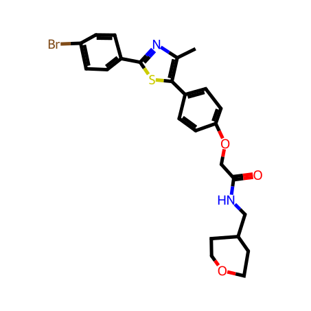 Cc1nc(-c2ccc(Br)cc2)sc1-c1ccc(OCC(=O)NCC2CCOCC2)cc1